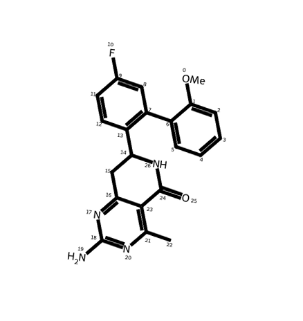 COc1ccccc1-c1cc(F)ccc1C1Cc2nc(N)nc(C)c2C(=O)N1